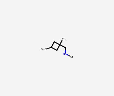 CCNCC1(C)CC(C=O)C1